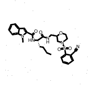 CCCC[C@H](NC(=O)c1cc2ccccc2n1C)C(=O)NCC1CN(S(=O)(=O)c2ccccc2C#N)CCO1